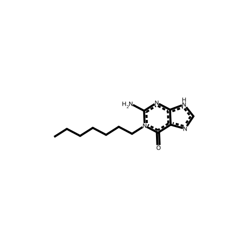 CCCCCCCn1c(N)nc2[nH]cnc2c1=O